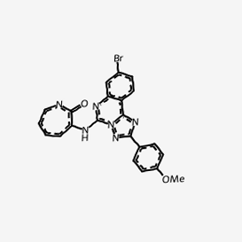 COc1ccc(-c2nc3c4ccc(Br)cc4nc(Nc4ccccnc4=O)n3n2)cc1